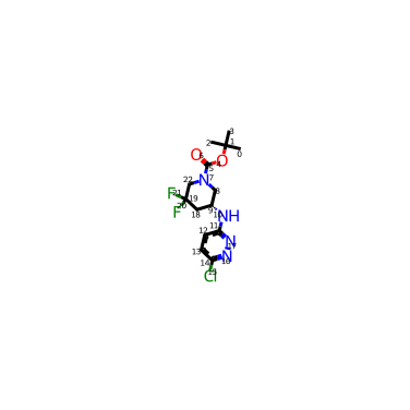 CC(C)(C)OC(=O)N1C[C@H](Nc2ccc(Cl)nn2)CC(F)(F)C1